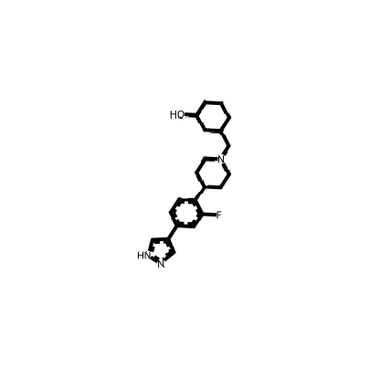 OC1CCCC(CN2CCC(c3ccc(-c4cn[nH]c4)cc3F)CC2)C1